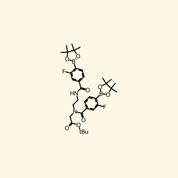 CC(C)(C)OC(=O)CN(CCNC(=O)c1ccc(B2OC(C)(C)C(C)(C)O2)c(F)c1)C(=O)c1ccc(B2OC(C)(C)C(C)(C)O2)c(F)c1